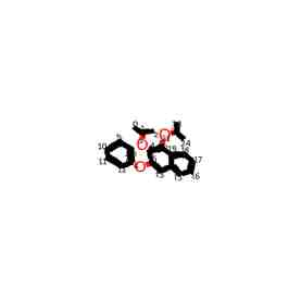 CC(C)Oc1c(Oc2ccccc2)cc2ccccc2c1OC(C)C